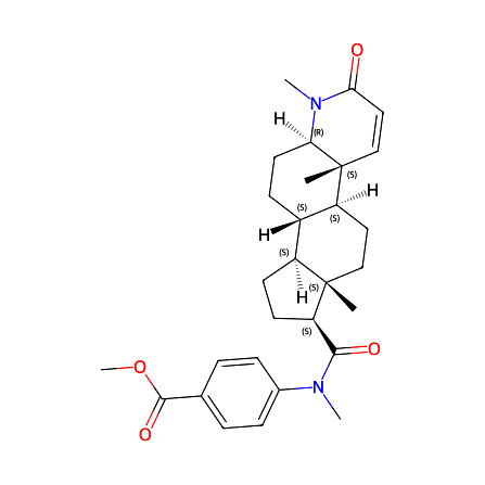 COC(=O)c1ccc(N(C)C(=O)[C@H]2CC[C@H]3[C@@H]4CC[C@H]5N(C)C(=O)C=C[C@]5(C)[C@H]4CC[C@]23C)cc1